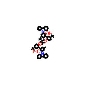 Cc1cc(-c2cc(C(C)(C)C)ccc2OC[Si](COc2ccc(C(C)(C)C)cc2-c2cc(C)cc(-n3c4ccccc4c4ccccc43)c2O)(C(C)C)C(C)C)c(O)c(-n2c3ccccc3c3ccccc32)c1